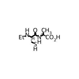 CCN[C@@H](CS)C(=O)N[C@@H](C)C(=O)O